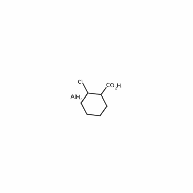 O=C(O)C1CCCCC1Cl.[AlH3]